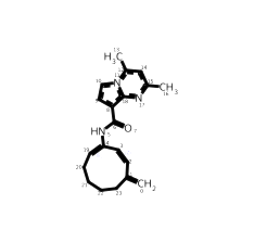 C=C1/C=C\C(NC(=O)c2ccn3c(C)cc(C)nc23)=C/CCCC1